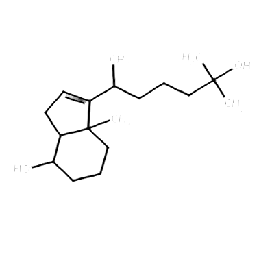 CC(CCCC(C)(C)O)C1=CCC2C(O)CCCC12C